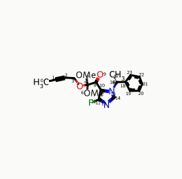 CC#CCOC(OC)(OC)C(=O)c1c(F)ncn1[C@H](C)c1ccccc1